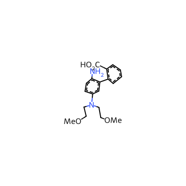 COCCN(CCOC)c1ccc(N)c(-c2ccccc2C(=O)O)c1